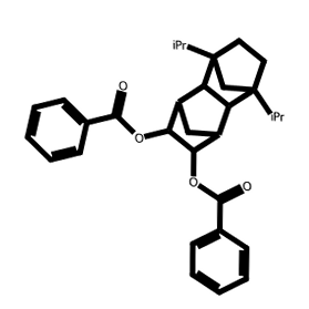 CC(C)C12CCC(C(C)C)(C1)C1C3CC(C(OC(=O)c4ccccc4)C3OC(=O)c3ccccc3)C12